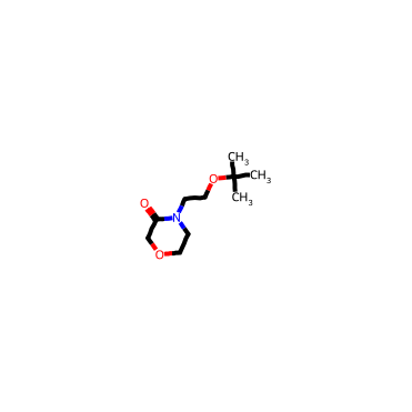 CC(C)(C)OCCN1CCOCC1=O